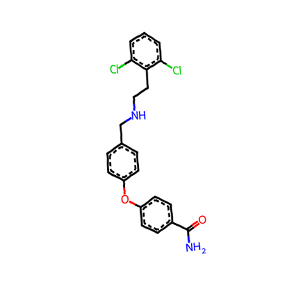 NC(=O)c1ccc(Oc2ccc(CNCCc3c(Cl)cccc3Cl)cc2)cc1